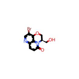 O=c1ccc2ncc(Br)c3c2n1[C@H](CO)CO3